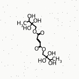 CC(O)C(O)(O)COC(=O)C=CC(=O)OCC(O)(O)C(C)O